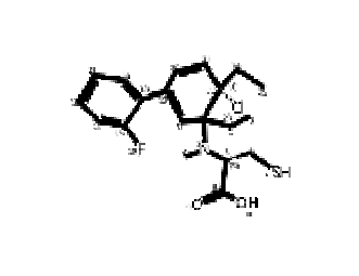 CCC1(N(C)[C@@H](CS)C(=O)O)C=C(c2ccccc2F)C=C[C@@]1(Cl)CC